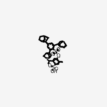 Cc1cc(S(=O)(=O)O)c(C(C)C)cc1OS(=O)(=O)c1c(C2CC3CCC2C3)cc(C2CC3CCC2C3)cc1C1CC2CCC1C2